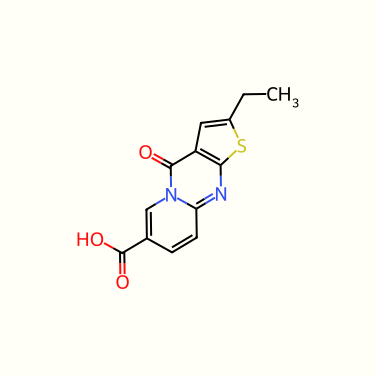 CCc1cc2c(=O)n3cc(C(=O)O)ccc3nc2s1